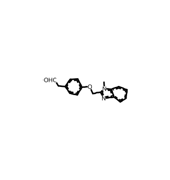 Cn1c(COc2ccc(C[C]=O)cc2)nc2ccccc21